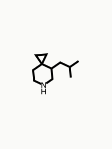 CC(C)CC1CNCCC12CC2